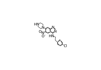 O=[N+]([O-])c1cc2c(NCCc3ccc(Cl)cc3)ncnc2cc1N1CCNCC1